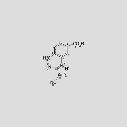 Cc1ccc(C(=O)O)cc1-n1ncc(C#N)c1N